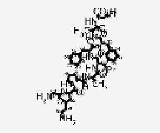 CC(C)CC(NC(=O)C(C)NC(=O)C(Cc1ccccc1)NC(=O)C(Cc1ccccc1)NC(=O)C(CC(C)C)NC(=O)C(C)NC(=O)C1CCCN1C(=O)C(CCCCN)NC(=O)CN)C(=O)O